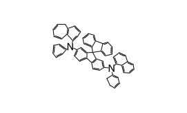 C1=CCCC(N(c2ccc3c(c2)C2(c4ccccc4-c4ccccc42)c2cc(N(c4ccccc4)c4cccc5c4C=CC=CC5)ccc2-3)c2cccc3ccccc23)=C1